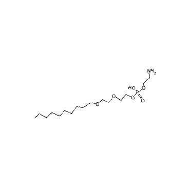 CCCCCCCCCCOCCOCCOP(=O)(O)OCCN